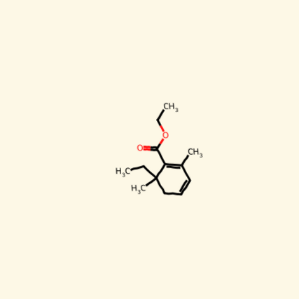 CCOC(=O)C1=C(C)C=CCC1(C)CC